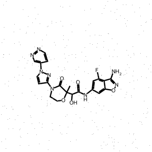 CC1(C(O)C(=O)Nc2cc(F)c3c(N)noc3c2)OCCN(c2ccn(-c3ccnnc3)n2)C1=O